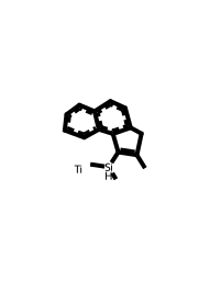 CC1=C([SiH](C)C)c2c(ccc3ccccc23)C1.[Ti]